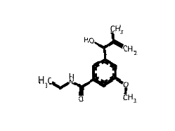 C=C(C)C(O)c1cc(OC)cc(C(=O)NCC)c1